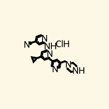 Cl.N#Cc1ccnc(Nc2cc(C3CC3)cc(-c3cncc(CN4CCNCC4)c3)n2)c1